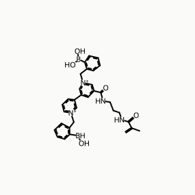 C=C(C)C(=O)NCCCNC(=O)c1cc(-c2ccc[n+](Cc3ccccc3BO)c2)c[n+](Cc2ccccc2B(O)O)c1